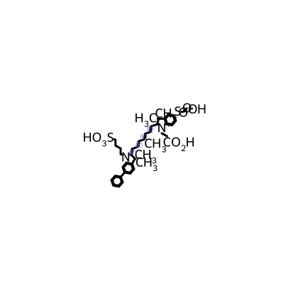 CC(/C=C/C=C1/N(CCCCS(=O)(=O)O)c2cc(-c3ccccc3)ccc2C1(C)C)=C\C=C\C1=[N+](CCC(=O)O)c2ccc(SOOO)cc2C1(C)C